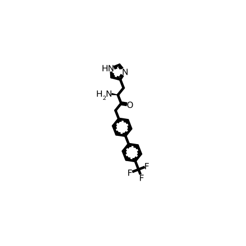 N[C@@H](Cc1c[nH]cn1)C(=O)Cc1ccc(-c2ccc(C(F)(F)F)cc2)cc1